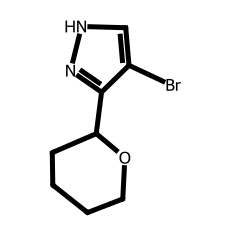 Brc1c[nH]nc1C1CCCCO1